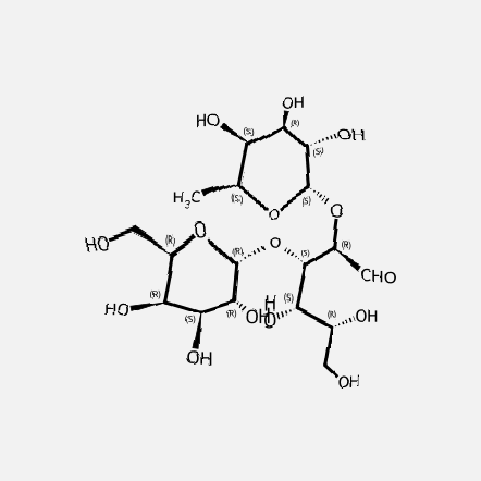 C[C@@H]1O[C@@H](O[C@@H](C=O)[C@@H](O[C@H]2O[C@H](CO)[C@H](O)[C@H](O)[C@H]2O)[C@@H](O)[C@H](O)CO)[C@@H](O)[C@H](O)[C@@H]1O